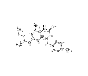 CCCC(C)Oc1nc(N)c2c(n1)N(Cc1ccc(C)nc1)CC(=O)N2